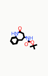 CC(C)(C)OC(=O)NC1CC(=O)Nc2ccccc2C1